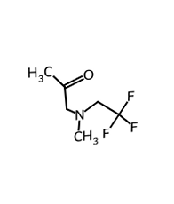 CC(=O)CN(C)CC(F)(F)F